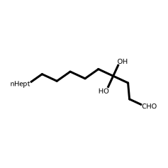 CCCCCCCCCCCCC(O)(O)CCC=O